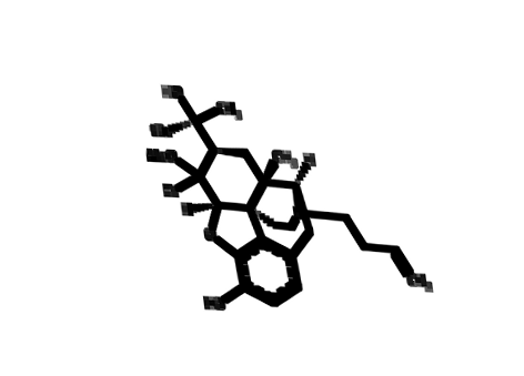 C=CCCN1CC[C@]23c4c5ccc(O)c4O[C@H]2C(CC)(OC)[C@@H]([C@](C)(O)C(C)(C)C)C[C@]3(C)[C@H]1C5